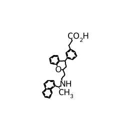 C[C@@H](NCCC1CC(c2cccc(CCC(=O)O)c2)c2ccccc2O1)c1cccc2ccccc12